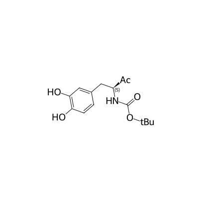 CC(=O)[C@H](Cc1ccc(O)c(O)c1)NC(=O)OC(C)(C)C